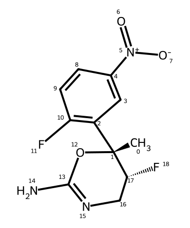 C[C@]1(c2cc([N+](=O)[O-])ccc2F)OC(N)=NC[C@H]1F